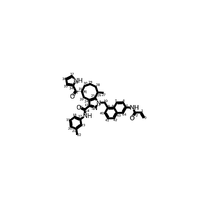 C=CC(=O)Nc1ccc2c(Cn3nc(C(=O)Nc4cccc(C)c4)c4c3C(C)CCC[C@@H](C(=O)c3ccc[nH]3)C4)cccc2c1